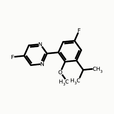 COc1c(-c2ncc(F)cn2)cc(F)cc1C(C)C